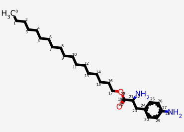 CCCCCCCCCCCCCCCCCCOC(=O)C(N)Cc1ccc(N)cc1